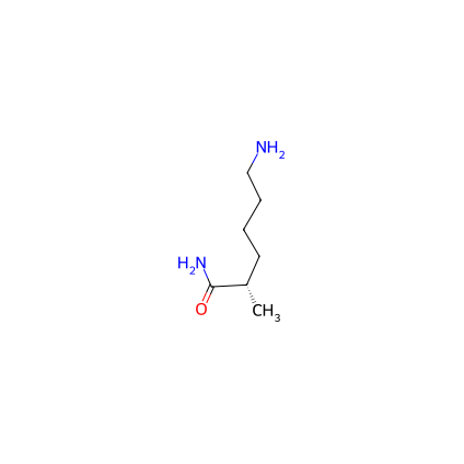 C[C@@H](CCCCN)C(N)=O